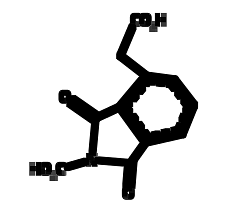 O=C(O)Cc1cccc2c1C(=O)N(C(=O)O)C2=O